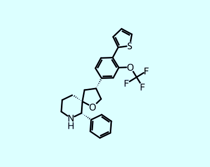 FC(F)(F)Oc1cc([C@@H]2CO[C@]3(CCCN[C@H]3c3ccccc3)C2)ccc1-c1cccs1